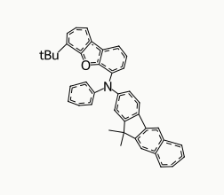 CC(C)(C)c1cccc2c1oc1c(N(c3ccccc3)c3ccc4c(c3)C(C)(C)c3cc5ccccc5cc3-4)cccc12